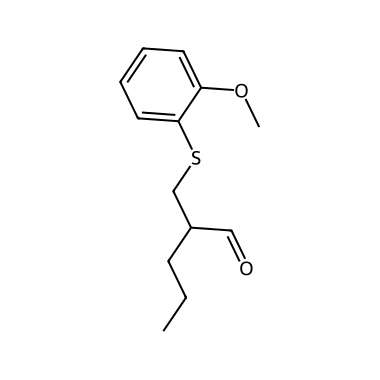 CCCC(C=O)CSc1ccccc1OC